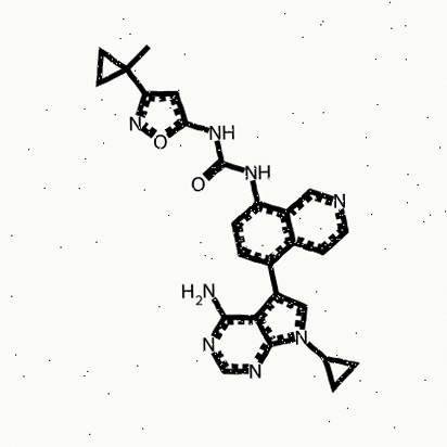 CC1(c2cc(NC(=O)Nc3ccc(-c4cn(C5CC5)c5ncnc(N)c45)c4ccncc34)on2)CC1